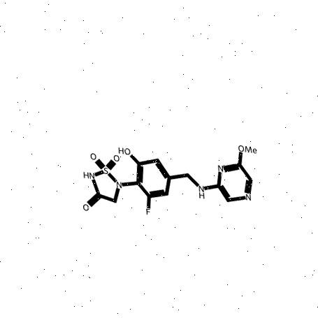 COc1cncc(NCc2cc(O)c(N3CC(=O)NS3(=O)=O)c(F)c2)n1